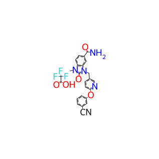 Cn1c(=O)n(Cc2ccc(Oc3cccc(C#N)c3)nc2)c2cc(C(N)=O)ccc21.O=C(O)C(F)(F)F